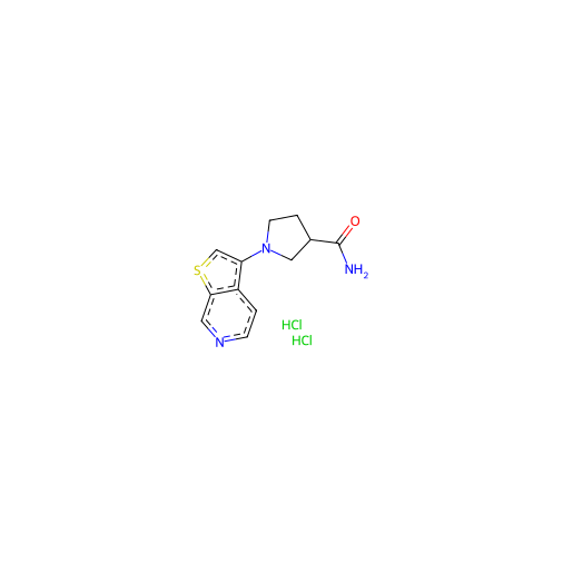 Cl.Cl.NC(=O)C1CCN(c2csc3cnccc23)C1